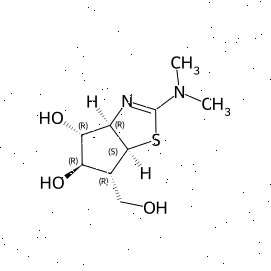 CN(C)C1=N[C@@H]2[C@@H](O)[C@H](O)[C@@H](CO)[C@@H]2S1